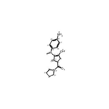 CN(C1=C(O)CC(C(=O)N2CCCC2)N1)c1ccc(N)cc1